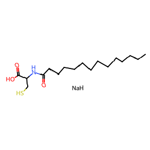 CCCCCCCCCCCCCC(=O)NC(CS)C(=O)O.[NaH]